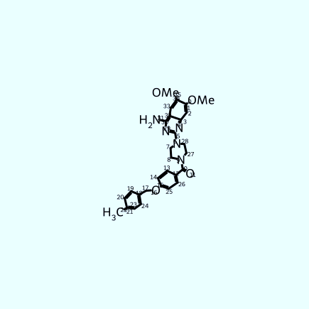 COc1cc2nc(N3CCN(C(=O)c4ccc(OCc5ccc(C)cc5)cc4)CC3)nc(N)c2cc1OC